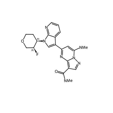 CNC(=O)c1cnn2c(NC)cc(-c3cn([C@@H]4CCOC[C@@H]4F)c4ncccc34)nc12